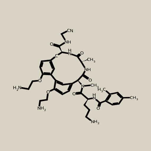 Cc1ccc(C(=O)N[C@@H](CCCN)C(=O)N(C)[C@@H]2C(=O)N[C@@H](C)C(=O)N[C@H](C(=O)NCC#N)Cc3ccc(OCCN)c(c3)-c3cc2ccc3OCCN)c(C)c1